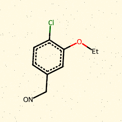 CCOc1cc(CN=O)ccc1Cl